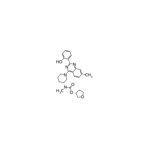 Cc1ccc2c(N3CCC[C@@H](N(C)C(=O)O[C@@H]4CCOC4)C3)nc(-c3ccccc3O)nc2c1